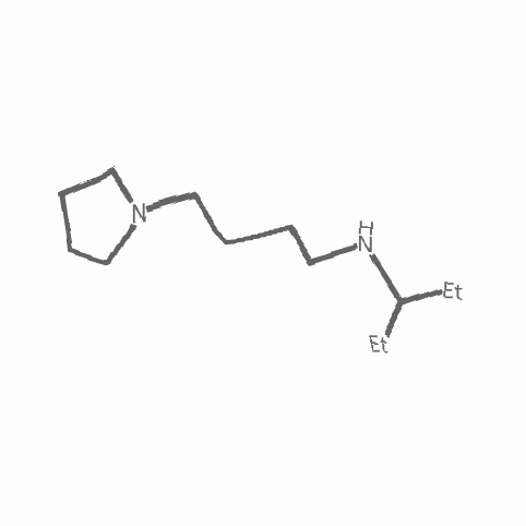 CCC(CC)NCCCCN1CCCC1